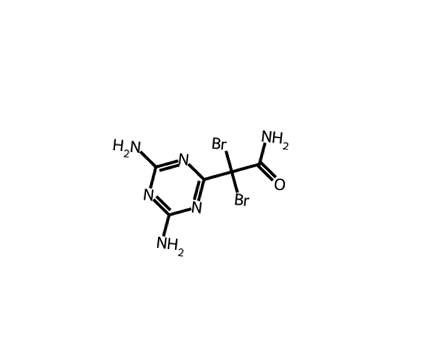 NC(=O)C(Br)(Br)c1nc(N)nc(N)n1